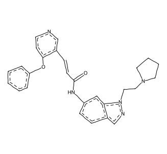 O=C(/C=C/c1cnccc1Oc1ccccc1)Nc1ccc2cnn(CCN3CCCC3)c2c1